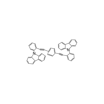 C(#Cc1ccccc1-n1c2ccccc2c2ccccc21)c1ccc(C#Cc2ccccc2-n2c3ccccc3c3ccccc32)cc1